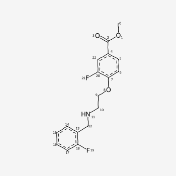 COC(=O)c1ccc(OCCNCc2ccccc2F)c(F)c1